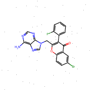 Nc1ncnc2c1ncn2Cc1oc2ccc(Br)cc2c(=O)c1-c1ccccc1F